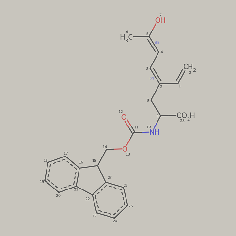 C=C/C(=C\C=C(/C)O)CC(NC(=O)OCC1c2ccccc2-c2ccccc21)C(=O)O